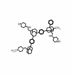 CN1CCN(CC23CC4CC(C2)CC(c2ccc(C56CC(CNC7CCNCC7)C7CCC(c8ccc(C9%10CC%11(C)CC(CNC%12CCNCC%12)(CC(c%12ccccc%12)(C%11)C9)C%10)cc8)(CC7C5)C6)cc2)(C4)C3)CC1